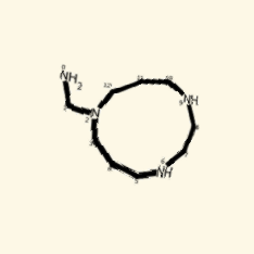 NCN1CCCNCCNCCC1